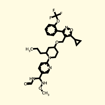 CCCC1CC(OCc2c(-c3ccccc3OC(F)(F)F)noc2C2CC2)CCN1c1ccc(C(NC=O)NOC)cn1